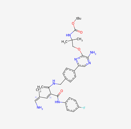 C=C(NCc1ccc(-c2cnc(N)c(OCC(C)(C)NC(=O)OC(C)(C)C)n2)cc1)/C(=C\C(=C/N)C(F)(F)F)C(=O)Nc1ccc(F)cc1